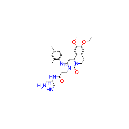 CCOc1cc2c(cc1OC)-c1c/c(=N\c3c(C)cc(C)cc3C)n(CCC(=O)N/C(C=N)=C/N)c(=O)n1CC2